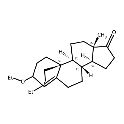 CCOC[C@]12CCC(OCC)C=C1CC[C@@H]1[C@@H]2CC[C@]2(C)C(=O)CC[C@@H]12